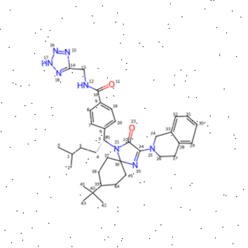 CC(C)CC[C@H](c1ccc(C(=O)NCc2nn[nH]n2)cc1)N1C(=O)C(N2CCc3ccccc3C2)=NC12CCC(C(C)(C)C)CC2